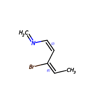 C=N/C=C\C(Br)=C/C